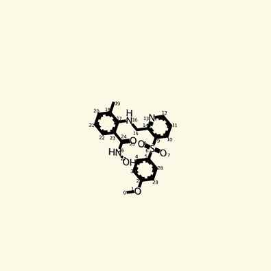 COc1ccc(S(=O)(=O)c2cccnc2CNc2c(C)cccc2C(=O)NO)cc1